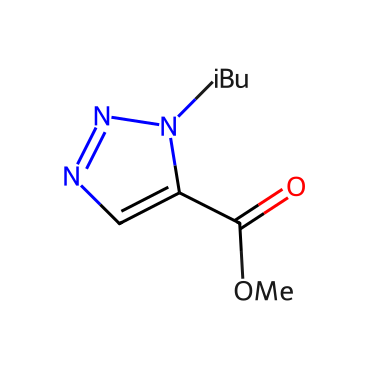 CCC(C)n1nncc1C(=O)OC